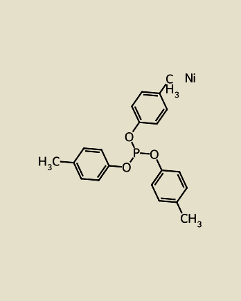 Cc1ccc(OP(Oc2ccc(C)cc2)Oc2ccc(C)cc2)cc1.[Ni]